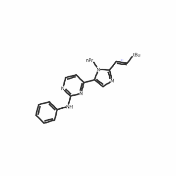 CCCn1c(-c2ccnc(Nc3ccccc3)n2)cnc1/C=C/C(C)(C)C